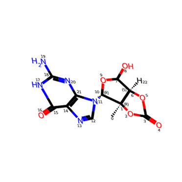 C[C@@]12OC(=O)O[C@@H]1C(O)O[C@H]2n1cnc2c(=O)[nH]c(N)nc21